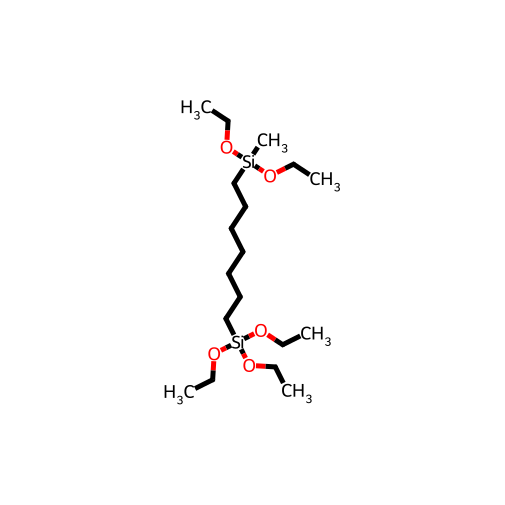 CCO[Si](C)(CCCCCCC[Si](OCC)(OCC)OCC)OCC